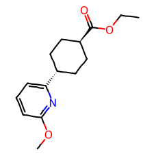 CCOC(=O)[C@H]1CC[C@H](c2cccc(OC)n2)CC1